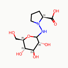 O=C(O)[C@@H]1CCCN1NC1O[C@H](CO)[C@@H](O)[C@H](O)[C@H]1O